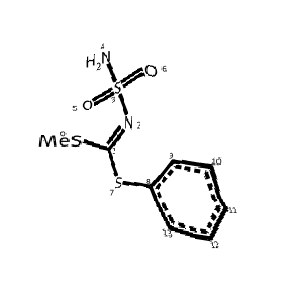 CSC(=NS(N)(=O)=O)Sc1ccccc1